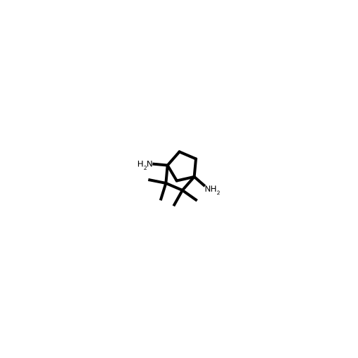 CC1(C)C2(N)CCC(N)(C2)C1(C)C